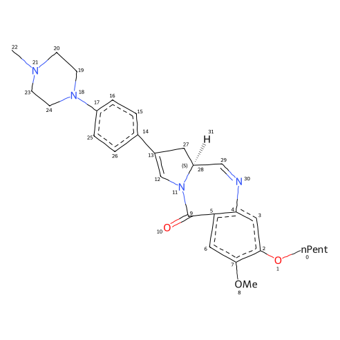 CCCCCOc1cc2c(cc1OC)C(=O)N1C=C(c3ccc(N4CCN(C)CC4)cc3)C[C@H]1C=N2